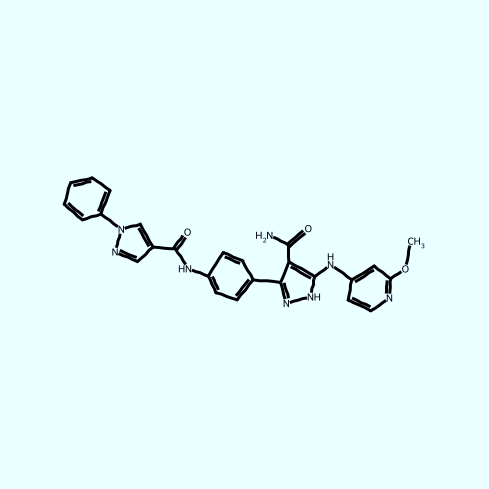 COc1cc(Nc2[nH]nc(-c3ccc(NC(=O)c4cnn(-c5ccccc5)c4)cc3)c2C(N)=O)ccn1